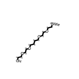 CNCCOCCOCCCCOCCOCCO